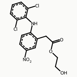 O=C(Cc1cc([N+](=O)[O-])ccc1Nc1c(Cl)cccc1Cl)OCCO